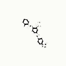 Cc1ccc(N=Nc2ccc(N=Nc3ccc(S(=O)(=O)O)cc3)cc2S(=O)(=O)O)c(C)c1